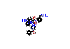 C[C@@H](c1c[nH]c2ccccc12)[C@@H](NC(=O)N1CCN(C(=O)c2ccccc2)CC1)C(=O)Nc1cccc(CN)c1